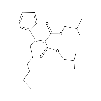 CCCCCCC(=C(C(=O)OCC(C)C)C(=O)OCC(C)C)c1ccccc1